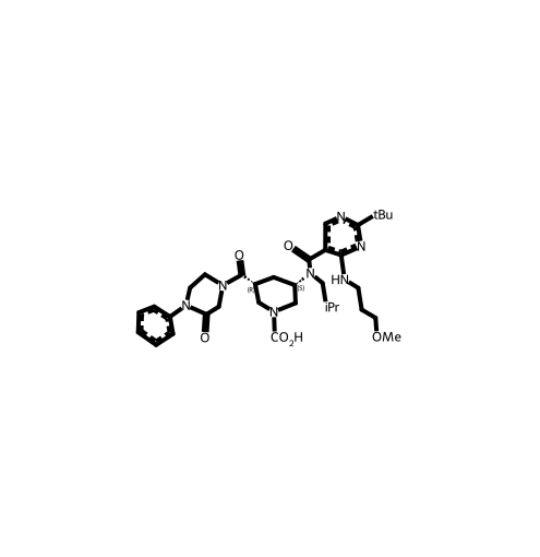 COCCCNc1nc(C(C)(C)C)ncc1C(=O)N(CC(C)C)[C@H]1C[C@@H](C(=O)N2CCN(c3ccccc3)C(=O)C2)CN(C(=O)O)C1